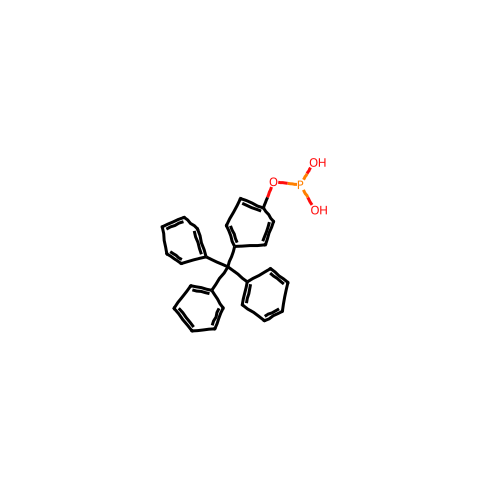 OP(O)Oc1ccc(C(c2ccccc2)(c2ccccc2)c2ccccc2)cc1